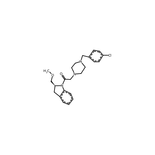 COC[C@@H]1Cc2ccccc2N1C(=O)CN1CCN(Cc2ccc(Cl)cc2)CC1